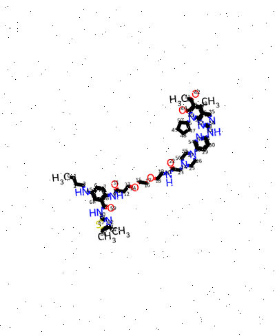 CCCCNc1ccc(NC(=O)CCOCCOCCNC(=O)CN2CCN(c3ccc(Nc4ncc5c(C)c(C(C)=O)c(=O)n(C6CCCC6)c5n4)nc3)CC2)c(C(=O)Nc2nc(C)c(C)s2)c1